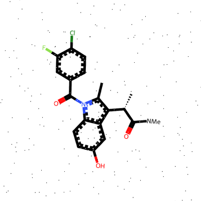 CNC(=O)[C@@H](C)c1c(C)n(C(=O)c2ccc(Cl)c(F)c2)c2ccc(O)cc12